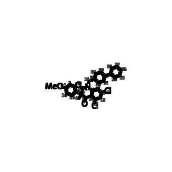 COc1ccc(C2(C)C(=O)c3c(Cl)cc(Cl)cc3N(Cc3ccc(-c4ccccc4)cc3)C2=O)cc1